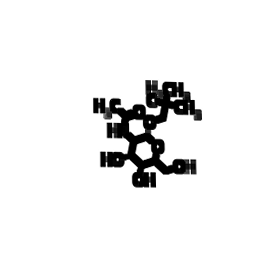 CC(=O)NC1[C@H](OCC(C)(C)C)OC(CO)[C@@H](O)[C@@H]1O